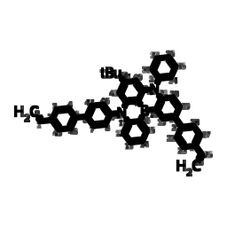 C=Cc1ccc(-c2ccc(N3c4ccccc4B4c5cc(-c6ccc(C=C)cc6)ccc5N(c5ccccc5)c5cc(C(C)(C)C)cc3c54)cc2)cc1